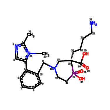 Cc1ncc(-c2ccccc2CN2CCP(=O)(O)[C@](CCCCN)(C(=O)O)C2)n1C